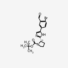 CC(C)(C)OC(=O)N1CCC[C@H]1c1ncc(-c2ccc(Br)c(C=O)c2)[nH]1